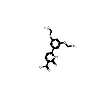 CCOc1cc(OCC)cc(-c2ccc(C(C)=O)c(=O)[nH]2)c1